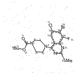 CSc1nc(N2CCN(C(=O)OC(C)(C)C)CC2)c2cc(Cl)c(Br)c(F)c2n1